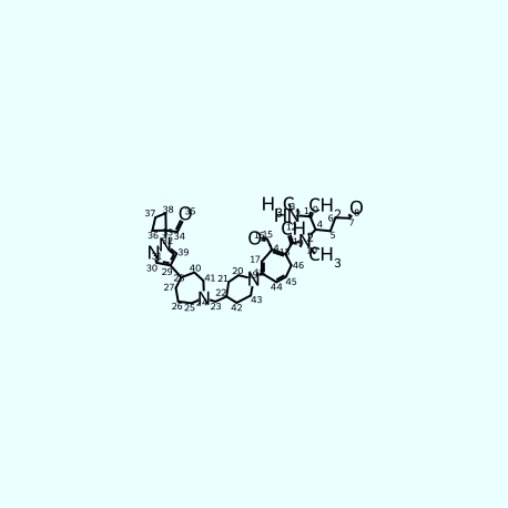 C=C(NC)C(CCC=O)N(C)C(=C)C1=C(C=O)C=C(N2CCC(CN3CCCC(c4cnn(C5(C=O)CCC5)c4)CC3)CC2)C=CC1